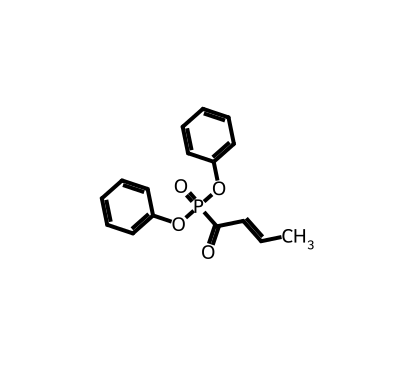 C/C=C/C(=O)P(=O)(Oc1ccccc1)Oc1ccccc1